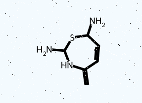 C=C1C=CC(N)SC(N)N1